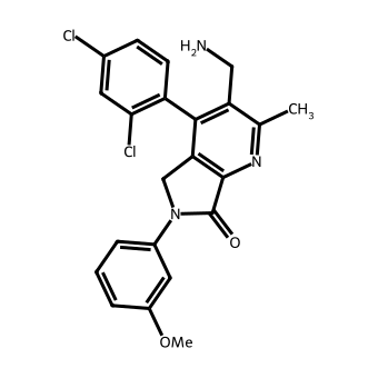 COc1cccc(N2Cc3c(nc(C)c(CN)c3-c3ccc(Cl)cc3Cl)C2=O)c1